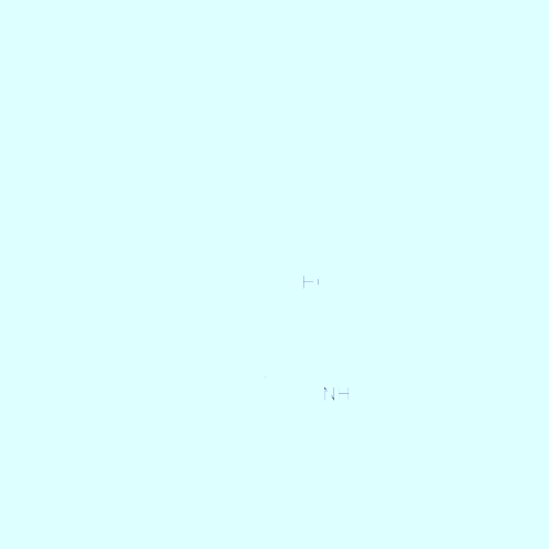 Cl.c1ccc(CCc2ccc3c(c2)CCCC32CCNCC2)cc1